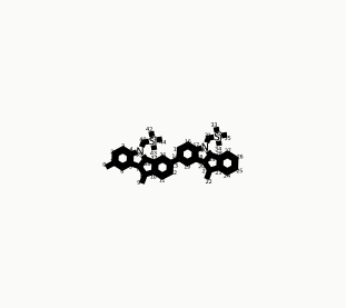 Cc1ccc2c(c1)C1C(C)c3ccc(-c4ccc5c(c4)C4C(C)c6ccccc6C4N5C[Si](C)(C)C)cc3C1N2C[Si](C)(C)C